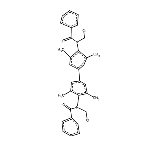 Cc1cc(-c2cc(C)c(N(CCl)C(=O)c3ccccc3)c(C)c2)cc(C)c1N(CCl)C(=O)c1ccccc1